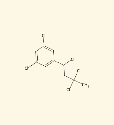 CC(Cl)(Cl)CC(Cl)c1cc(Cl)cc(Cl)c1